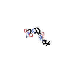 CC(C)(C)c1ccc(NC(=O)NC(=O)c2ccc3c(c2)CN(C2CCC(=O)NC2=O)C3)cc1